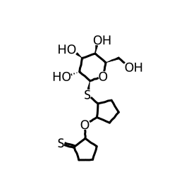 OC[C@H]1O[C@@H](SC2CCCC2OC2CCCC2=S)[C@H](O)[C@@H](O)[C@H]1O